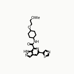 COCCOC1CCC(NC(=O)c2nc(-c3cncs3)cc3cn[nH]c23)CC1